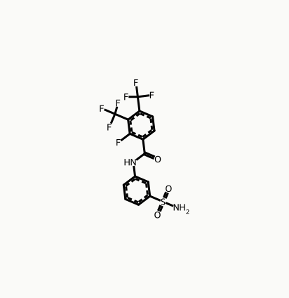 NS(=O)(=O)c1cccc(NC(=O)c2ccc(C(F)(F)F)c(C(F)(F)F)c2F)c1